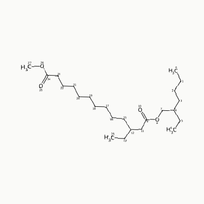 CCCCC(CC)COC(=O)CC(CC)CCCCCCCCCC(=O)OC